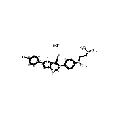 CN(C)CCN(C)c1ccc(-n2cnc3cc(-c4ccc(Cl)cc4)sc3c2=O)cc1.Cl